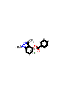 CCCCn1nc(C(F)(F)F)c2c1CC[C@@H](F)[C@H]2OC(=O)c1ccccc1